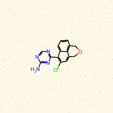 Nc1ncnc(-c2c(Cl)cc3c4c(cccc24)COC3)n1